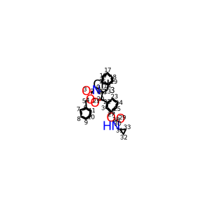 CN(C(=O)OCc1ccccc1)[C@@H](Cc1ccccc1)C(=O)c1cccc(OC(=O)NC2CC2)c1